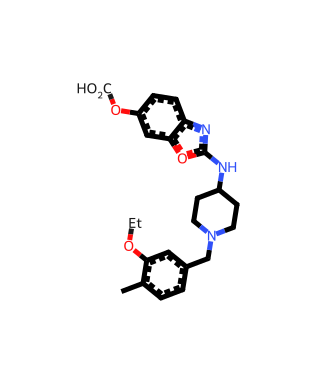 CCOc1cc(CN2CCC(Nc3nc4ccc(OC(=O)O)cc4o3)CC2)ccc1C